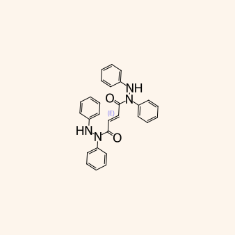 O=C(/C=C/C(=O)N(Nc1ccccc1)c1ccccc1)N(Nc1ccccc1)c1ccccc1